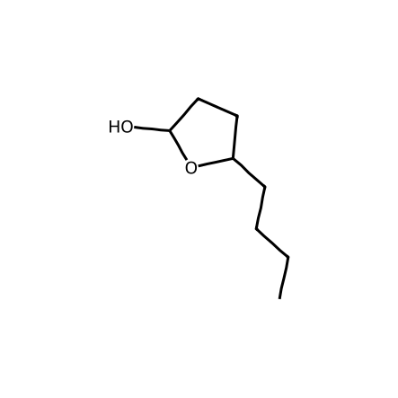 CCCCC1CCC(O)O1